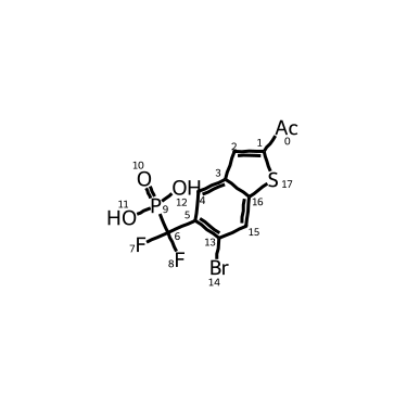 CC(=O)c1cc2cc(C(F)(F)P(=O)(O)O)c(Br)cc2s1